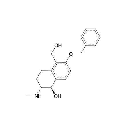 CN[C@@H]1CCc2c(ccc(OCc3ccccc3)c2CO)[C@H]1O